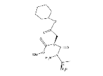 C[C@@H](C(=O)O)N(N)C(=O)[C@H](CC(=O)OC1CCCCC1)C(=O)OC(C)(C)C